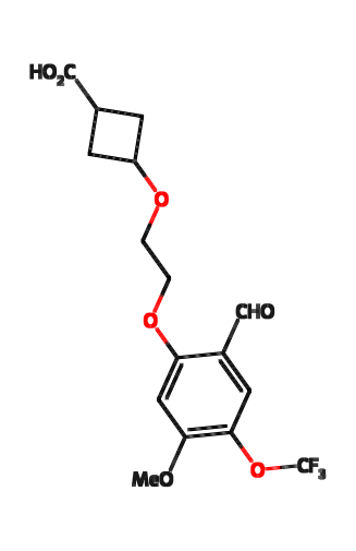 COc1cc(OCCOC2CC(C(=O)O)C2)c(C=O)cc1OC(F)(F)F